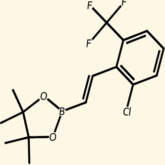 CC1(C)OB(/C=C/c2c(Cl)cccc2C(F)(F)F)OC1(C)C